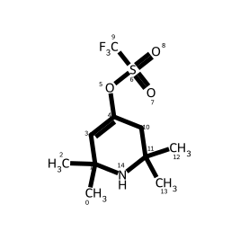 CC1(C)C=C(OS(=O)(=O)C(F)(F)F)CC(C)(C)N1